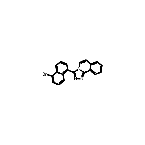 Brc1cccc2c(-c3nnc4c5ccccc5ccn34)cccc12